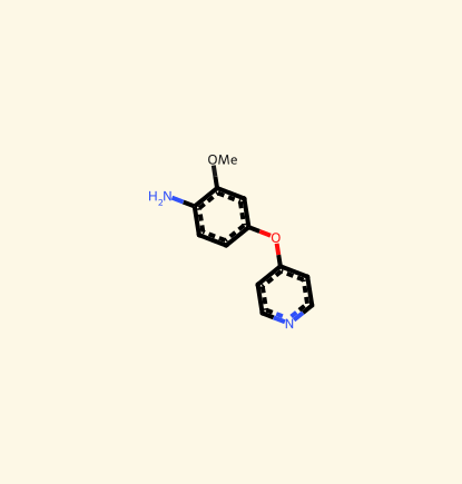 COc1cc(Oc2ccncc2)ccc1N